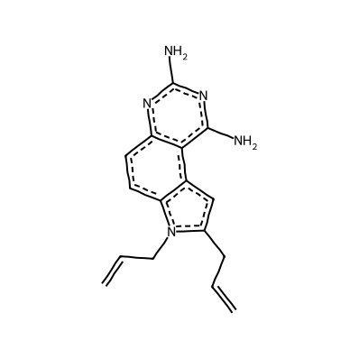 C=CCc1cc2c3c(N)nc(N)nc3ccc2n1CC=C